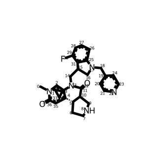 Cn1ccc([C@H]2CCNCC2C(=O)N(CC2CN(Cc3ccncc3)c3cccc(F)c32)C2CC2)cc1=O